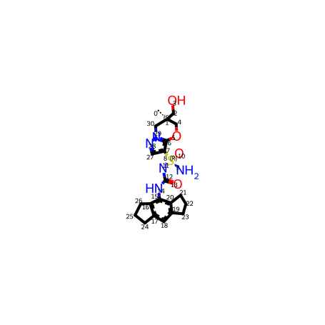 C[C@]1(CO)COc2c([S@](N)(=O)=NC(=O)Nc3c4c(cc5c3CCC5)CCC4)cnn2C1